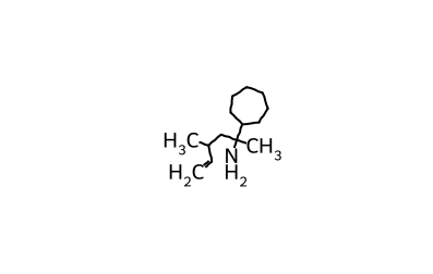 C=CC(C)CC(C)(N)C1CCCCCC1